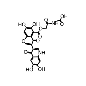 O=C(O)CNC(=O)COC(=O)c1c(O)c(O)cc2occ(-c3c[nH]c4cc(O)c(O)cc4c3=O)c(=O)c12